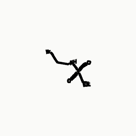 CCS(=O)(=O)NCBr